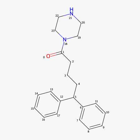 O=C(CCCC(c1ccccc1)c1ccccc1)N1CCNCC1